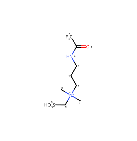 C[N+](C)(CCCNC(=O)C(F)(F)F)CS(=O)(=O)O